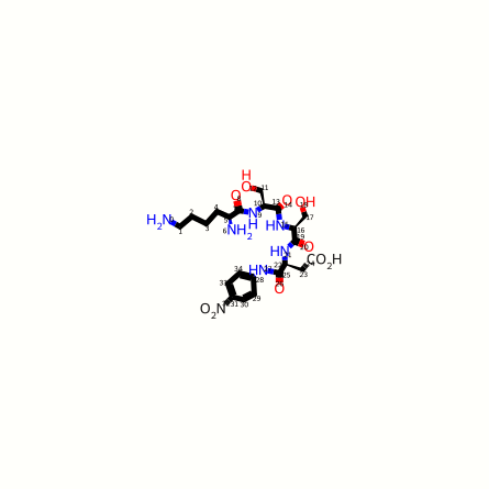 NCCCC[C@H](N)C(=O)N[C@@H](CO)C(=O)N[C@@H](CO)C(=O)N[C@@H](CC(=O)O)C(=O)Nc1ccc([N+](=O)[O-])cc1